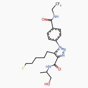 CC(CO)NC(=O)c1nnn(-c2ccc(C(=O)NCC(F)(F)F)cc2)c1CCCCCF